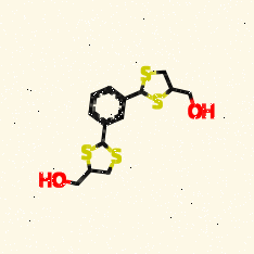 OCC1CSC(c2cccc(C3SCC(CO)S3)c2)S1